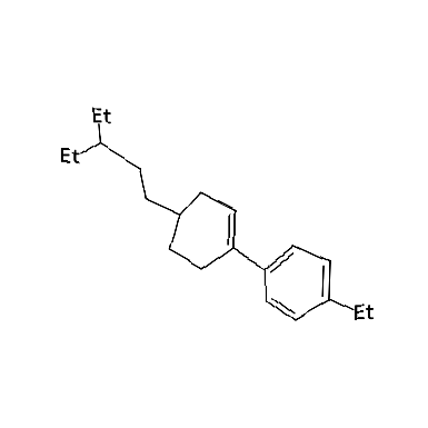 CCc1ccc(C2=CCC(CCC(CC)CC)CC2)cc1